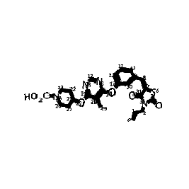 C=CCN1C(=O)SC(=Cc2cccc(Oc3ncnc(OC4CCN(C(=O)O)CC4)c3C)c2)C1=O